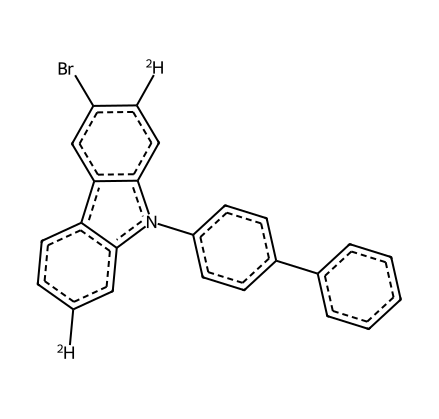 [2H]c1ccc2c3cc(Br)c([2H])cc3n(-c3ccc(-c4ccccc4)cc3)c2c1